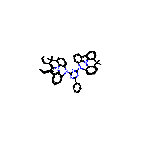 C/C=C\C1=c2c(=C\C)/c3cccc4c3n2-c2c(cccc2C1(C)C)N4c1nc(-c2ccccc2)nc(N2c3cccc4c3-n3c5c2cccc5c2cccc(c23)C4(C)C)n1